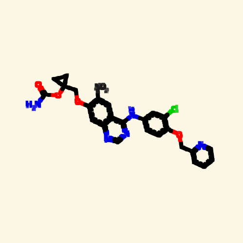 NC(=O)OC1(COc2cc3ncnc(Nc4ccc(OCc5ccccn5)c(Cl)c4)c3cc2[N+](=O)[O-])CC1